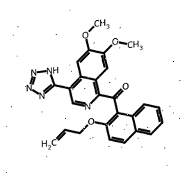 C=CCOc1ccc2ccccc2c1C(=O)c1ncc(-c2nnn[nH]2)c2cc(OC)c(OC)cc12